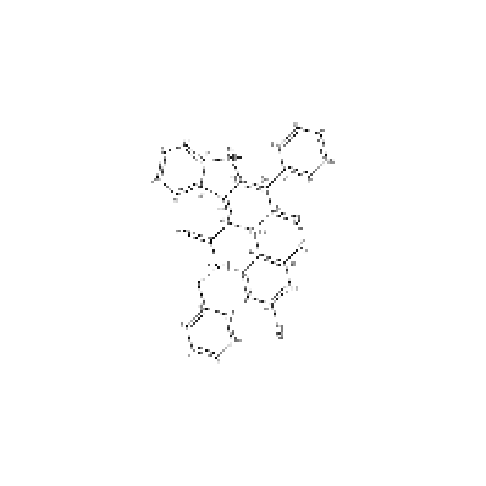 O=C(NCc1ccccc1)c1c2c([nH]c3ccccc32)c(-c2ccccc2)c(=O)n1-c1ccc(Cl)cc1Cl